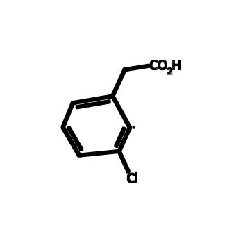 O=C(O)Cc1[c]c(Cl)ccc1